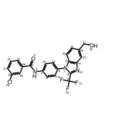 O=C(Nc1ccc(-n2c(C(F)(F)F)nc3cc(CO)ccc32)cc1)c1cccc(Cl)c1